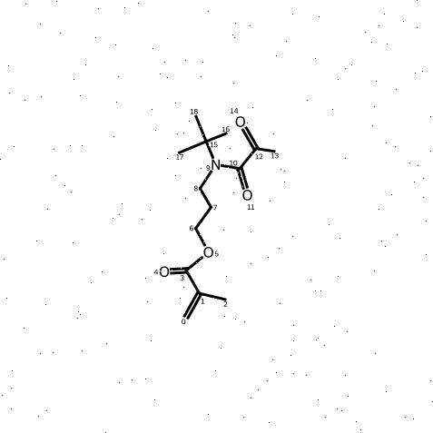 C=C(C)C(=O)OCCCN(C(=O)C(C)=O)C(C)(C)C